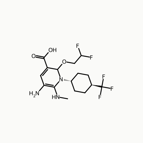 CNC1=C(N)C=C(C(=O)O)C(OCC(F)F)N1[C@H]1CC[C@H](C(F)(F)F)CC1